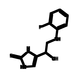 OC(CNc1ccccc1F)c1c[nH]c(=S)[nH]1